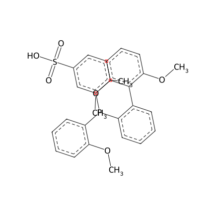 COc1ccccc1P(c1cc(S(=O)(=O)O)ccc1C)c1ccccc1-c1c(OC)cccc1OC